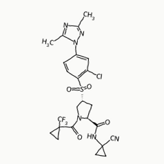 Cc1nc(C)n(-c2ccc(S(=O)(=O)[C@@H]3C[C@@H](C(=O)NC4(C#N)CC4)N(C(=O)C4(C(F)(F)F)CC4)C3)c(Cl)c2)n1